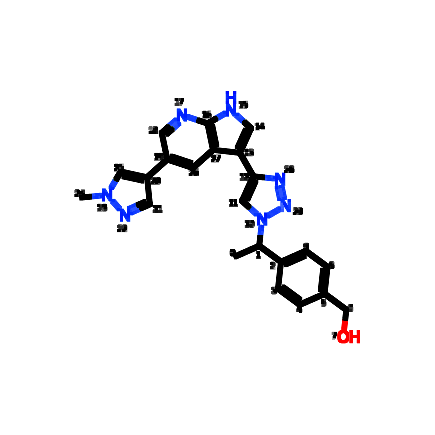 CC(c1ccc(CO)cc1)n1cc(-c2c[nH]c3ncc(-c4cnn(C)c4)cc23)nn1